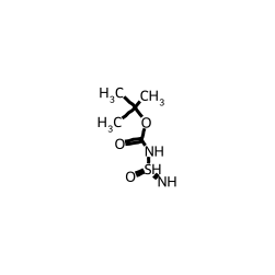 CC(C)(C)OC(=O)N[SH](=N)=O